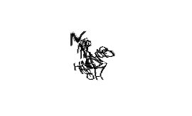 COC(=O)N1CCC(Nc2cc(-c3ccc4cc(C#N)cnn34)ncc2C(=O)NC[C@@H](F)C(C)(C)O)CC1